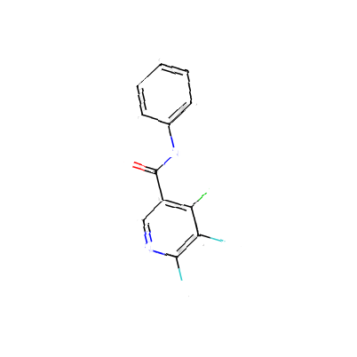 O=C(Nc1ccccc1)c1cnc(F)c(F)c1Cl